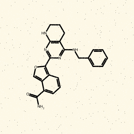 NC(=O)c1cccc2c(-c3nc4c(c(NCc5ccccc5)n3)CCCN4)occ12